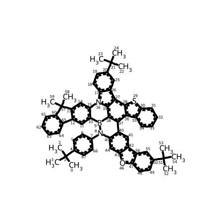 CC(C)(C)c1ccc(N2B3c4cc5c(cc4-n4c6ccc(C(C)(C)C)cc6c6c7sc8ccccc8c7c(c3c64)-c3cc4c(cc32)oc2ccc(C(C)(C)C)cc24)C(C)(C)c2ccccc2-5)cc1